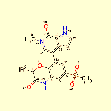 CC(C)C1Oc2c(cc(S(C)(=O)=O)cc2-c2cn(C)c(=O)c3[nH]ccc23)NC1=O